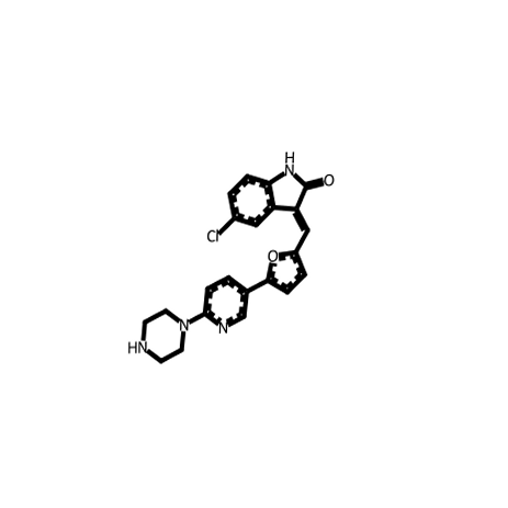 O=C1Nc2ccc(Cl)cc2/C1=C\c1ccc(-c2ccc(N3CCNCC3)nc2)o1